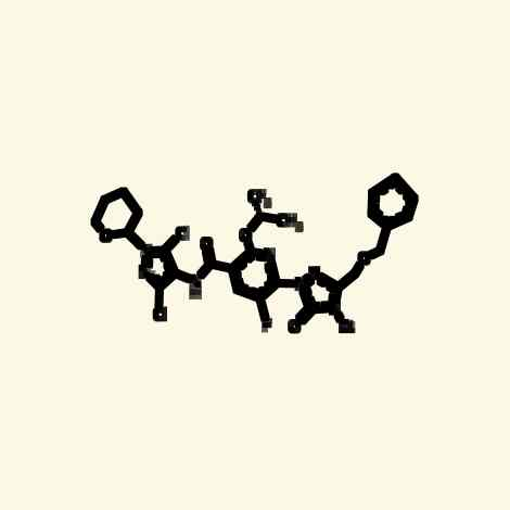 CCn1c(COCc2ccccc2)nn(-c2nc(O[C@@H](C)C(F)(F)F)c(C(=O)Nc3c(Cl)nn(C4CCCCO4)c3Cl)cc2F)c1=O